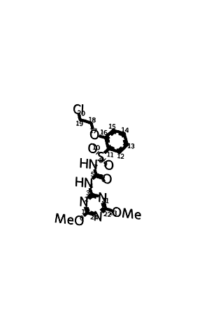 COc1nc(NC(=O)NS(=O)(=O)c2ccccc2OCCCl)nc(OC)n1